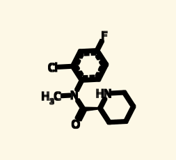 CN(C(=O)[C@@H]1CCCCN1)c1ccc(F)cc1Cl